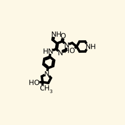 CC1(O)CCN(c2ccc(Nc3ncn(CC4(O)CCNCC4)c(=O)c3C=N)cc2)C1